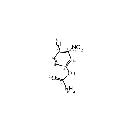 NC(=O)Oc1ccc(Cl)c([N+](=O)[O-])c1